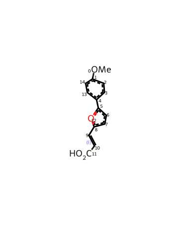 COc1ccc(-c2ccc(/C=C/C(=O)O)o2)cc1